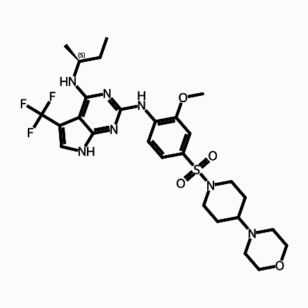 CC[C@H](C)Nc1nc(Nc2ccc(S(=O)(=O)N3CCC(N4CCOCC4)CC3)cc2OC)nc2[nH]cc(C(F)(F)F)c12